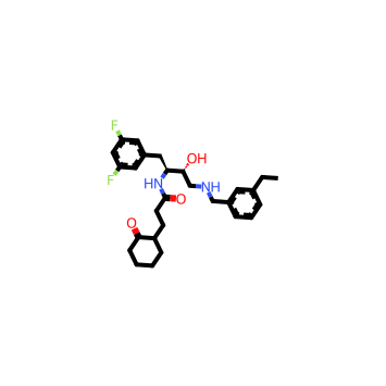 CCc1cccc(CNC[C@@H](O)[C@H](Cc2cc(F)cc(F)c2)NC(=O)CCC2CCCCC2=O)c1